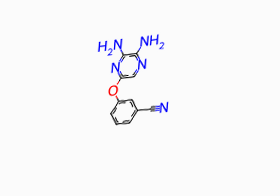 N#Cc1cccc(Oc2cnc(N)c(N)n2)c1